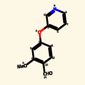 COc1cc(Oc2cccnc2)ccc1C=O